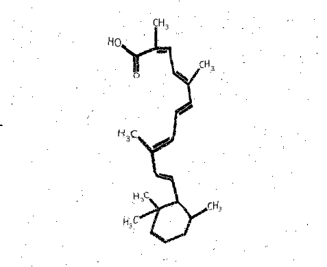 CC(C=CC1C(C)CCCC1(C)C)=CC=CC(C)=CC=C(C)C(=O)O